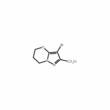 CCOC(=O)c1nn2c(c1Br)OCCC2